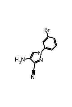 N#Cc1nn(-c2cccc(Br)c2)cc1N